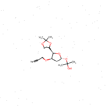 C#CCO[C@@H]1C[C@@H](OC(C)(C)O)O[C@@H]1C1COC(C)(C)O1